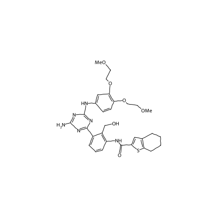 COCCOc1ccc(Nc2nc(N)nc(-c3cccc(NC(=O)c4cc5c(s4)CCCC5)c3CO)n2)cc1OCCOC